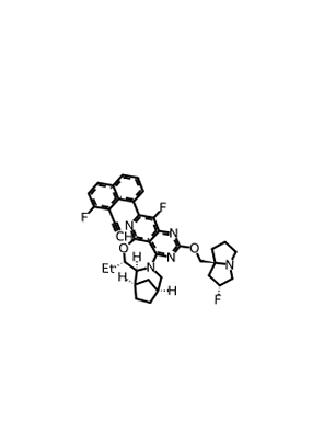 C#Cc1c(F)ccc2cccc(-c3nc4c5c(nc(OC[C@@]67CCCN6C[C@H](F)C7)nc5c3F)N3C[C@H]5CC[C@H](C5)[C@H]3[C@H](CC)O4)c12